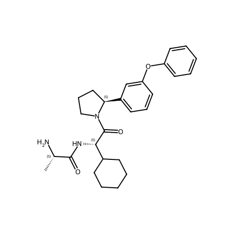 C[C@H](N)C(=O)N[C@H](C(=O)N1CCC[C@H]1c1cccc(Oc2ccccc2)c1)C1CCCCC1